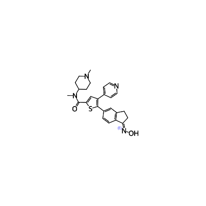 CN1CCC(N(C)C(=O)c2cc(-c3ccncc3)c(-c3ccc4c(c3)CC/C4=N\O)s2)CC1